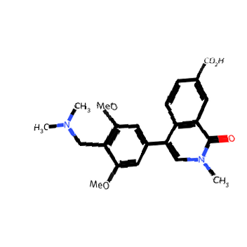 COc1cc(-c2cn(C)c(=O)c3cc(C(=O)O)ccc23)cc(OC)c1CN(C)C